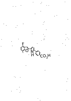 Cc1ccc(F)c2cc(-c3ccc(-c4ccc(C(=O)O)cc4)[nH]3)oc12